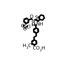 Cc1cc(CCc2ccc(C(=O)Nc3c(NC(=O)c4cccc(S(=O)(=O)Cl)c4)sc4c3CCCC4)cc2)ccc1C(=O)O